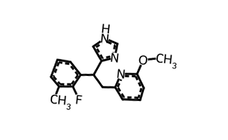 COc1cccc(CC(c2c[nH]cn2)c2cccc(C)c2F)n1